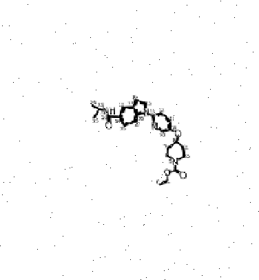 CCOC(=O)N1CCC(Oc2ccc(-n3ccc4cc(C(=O)NC(C)C)ccc43)nc2)CC1